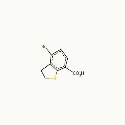 O=C(O)c1ccc(Br)c2c1SCC2